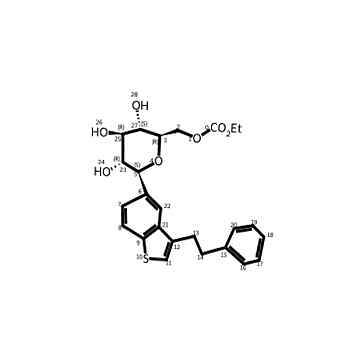 CCOC(=O)OC[C@H]1O[C@@H](c2ccc3scc(CCc4ccccc4)c3c2)[C@H](O)[C@@H](O)[C@@H]1O